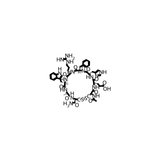 CC(=O)N[C@H]1CSSC[C@@H](C(N)=O)NC(=O)[C@H](C)NC(=O)[C@H](Cc2c[nH]c3ccccc23)NC(=O)[C@H](CCCNC(=N)N)NC(=O)[C@@H](Cc2ccccc2)NC(=O)[C@H](Cc2c[nH]cn2)NC(=O)[C@H](CCC(=O)O)NC1=O